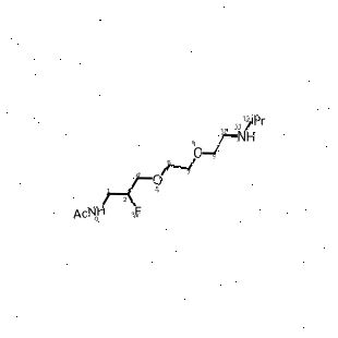 CC(=O)NCC(F)COCCOCCNC(C)C